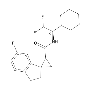 O=C(N[C@@H](C(F)F)C1CCCCC1)C1CC12CCc1ccc(F)cc12